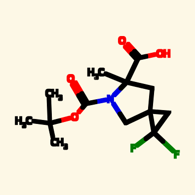 CC(C)(C)OC(=O)N1CC2(CC1(C)C(=O)O)CC2(F)F